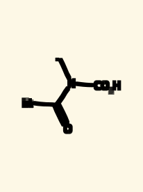 [CH2]N(C(=O)O)C(=O)CC